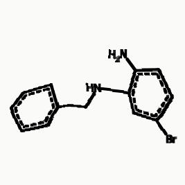 Nc1ccc(Br)cc1NCc1ccccc1